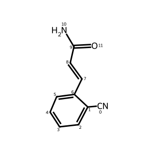 N#Cc1ccccc1/C=C/C(N)=O